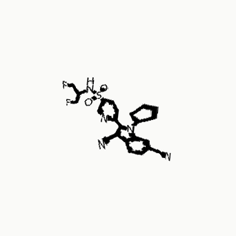 N#Cc1ccc2c(C#N)c(-c3ccc(S(=O)(=O)NC(CF)CF)cn3)n(C3CCCC3)c2c1